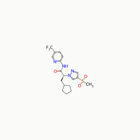 CS(=O)(=O)c1cnn([C@@H](CC2CCCC2)C(=O)Nc2ccc(C(F)(F)F)cn2)c1